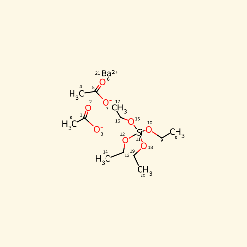 CC(=O)[O-].CC(=O)[O-].CCO[Si](OCC)(OCC)OCC.[Ba+2]